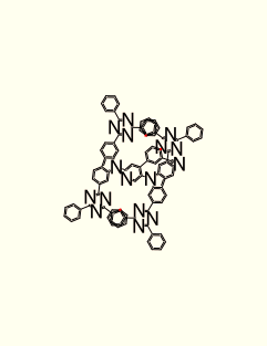 N#Cc1cccc(-c2cc(-n3c4cc(-c5nc(-c6ccccc6)nc(-c6ccccc6)n5)ccc4c4ccc(-c5nc(-c6ccccc6)nc(-c6ccccc6)n5)cc43)ncc2-n2c3cc(-c4nc(-c5ccccc5)nc(-c5ccccc5)n4)ccc3c3ccc(-c4nc(-c5ccccc5)nc(-c5ccccc5)n4)cc32)c1